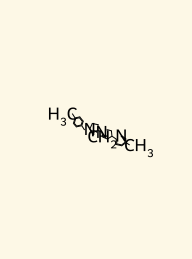 C=C1C(N2CCC(c3ccc(C)cn3)CC2)CCN1Cc1ccc(C)cc1